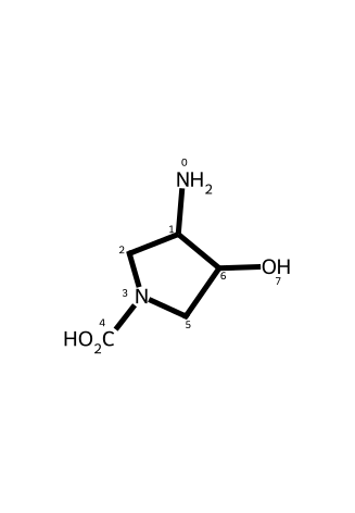 NC1CN(C(=O)O)CC1O